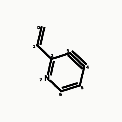 C=Cc1c#cccn1